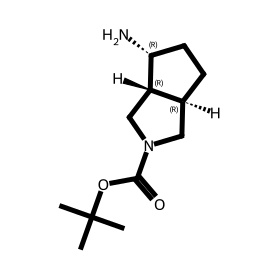 CC(C)(C)OC(=O)N1C[C@@H]2CC[C@@H](N)[C@H]2C1